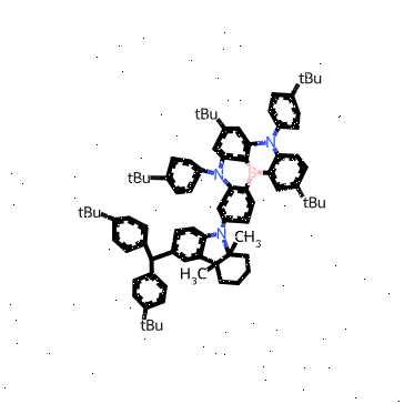 CC(C)(C)c1ccc(C(c2ccc(C(C)(C)C)cc2)c2ccc3c(c2)C2(C)CCCCC2(C)N3c2ccc3c(c2)N(c2ccc(C(C)(C)C)cc2)c2cc(C(C)(C)C)cc4c2B3c2cc(C(C)(C)C)ccc2N4c2ccc(C(C)(C)C)cc2)cc1